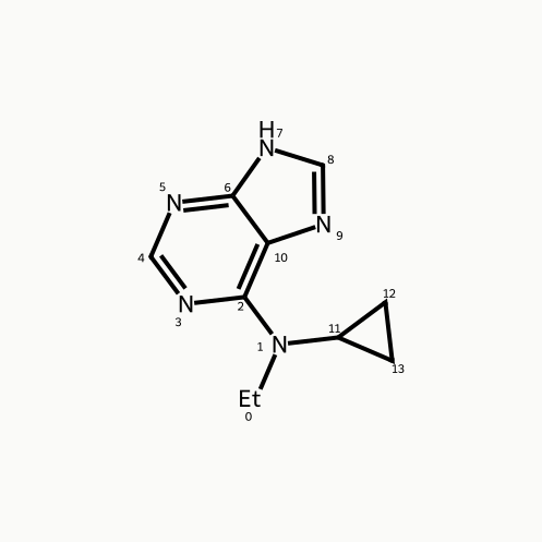 CCN(c1ncnc2[nH]cnc12)C1CC1